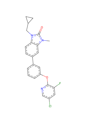 Cn1c(=O)n(CC2CC2)c2ccc(-c3cccc(Oc4ncc(Cl)cc4F)c3)cc21